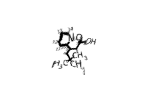 CC(C)(C)CC(CC(=O)O)c1ccccn1